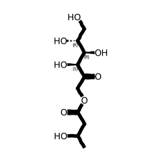 CC(O)CC(=O)OCC(=O)[C@@H](O)[C@H](O)[C@H](O)CO